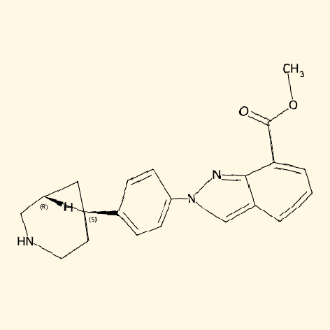 COC(=O)c1cccc2cn(-c3ccc([C@@]45CCNC[C@@H]4C5)cc3)nc12